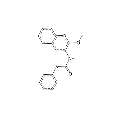 COc1nc2ccccc2cc1NC(=O)Sc1ccccc1